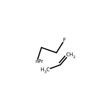 C=CC.CCCCCF